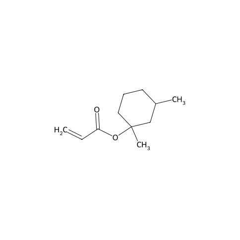 C=CC(=O)OC1(C)CCCC(C)C1